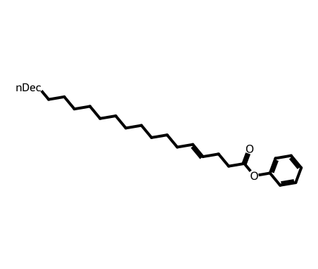 CCCCCCCCCCCCCCCCCCCCC/C=C/CCC(=O)Oc1ccccc1